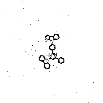 C1=CC2c3ccccc3N(C3C=C(c4ccccc4)N=C(c4ccc(-n5c6ccccc6c6ccsc65)cc4)N3)C2C=C1